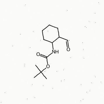 CC(C)(C)OC(=O)NC1CCCCC1[C]=O